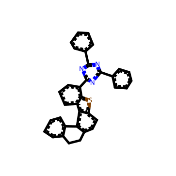 c1ccc(-c2nc(-c3ccccc3)nc(-c3cccc4c3sc3ccc5c(c34)-c3ccccc3CC5)n2)cc1